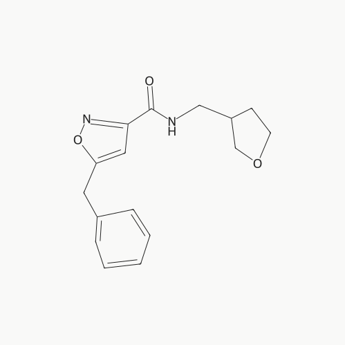 O=C(NCC1CCOC1)c1cc(Cc2ccccc2)on1